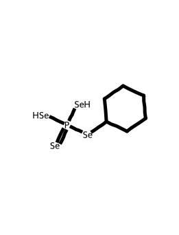 [Se]=P([SeH])([SeH])[Se]C1CCCCC1